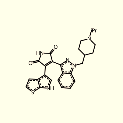 CC(C)N1CCC(Cn2nc(C3=C(c4c[nH]c5sccc45)C(=O)NC3=O)c3ccccc32)CC1